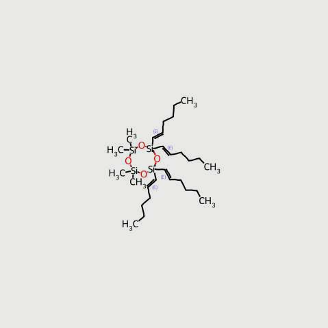 CCCC/C=C/[Si]1(/C=C/CCCC)O[Si](C)(C)O[Si](C)(C)O[Si](/C=C/CCCC)(/C=C/CCCC)O1